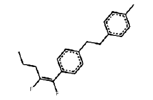 CCC/C(F)=C(/F)c1ccc(CCc2ccc(C)cc2)cc1